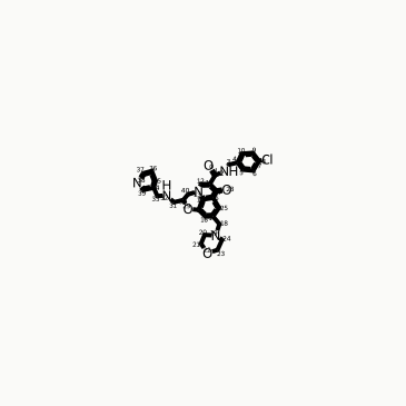 O=C(NCc1ccc(Cl)cc1)c1cn2c3c(cc(CN4CCOCC4)cc3c1=O)OC(CNCc1cccnc1)C2